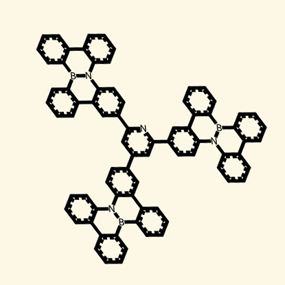 c1ccc2c(c1)B1c3ccccc3-c3cc(-c4cc(-c5ccc6c(c5)-c5ccccc5B5c7ccccc7-c7ccccc7N56)nc(-c5ccc6c(c5)-c5ccccc5B5c7ccccc7-c7ccccc7N56)c4)ccc3N1c1ccccc1-2